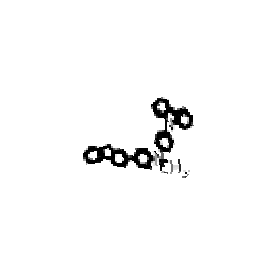 CN(c1ccc(-c2ccc3c(c2)Cc2ccccc2-3)cc1)c1ccc(-n2c3ccccc3c3ccccc32)cc1